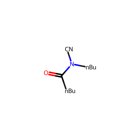 CCCCC(=O)N(C#N)CCCC